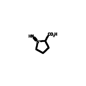 N=[N+]1CCCC1C(=O)O